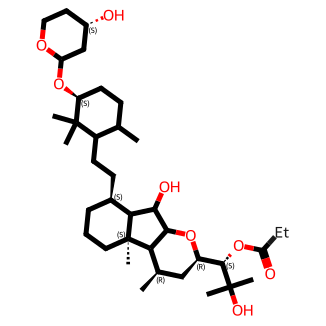 CCC(=O)O[C@@H]([C@H]1C[C@@H](C)C2C(O1)C(O)C1[C@H](CCC3C(C)CC[C@H](OC4C[C@@H](O)CCO4)C3(C)C)CCC[C@@]12C)C(C)(C)O